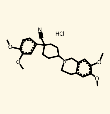 COc1ccc(C2(C#N)CCC(N3CCc4cc(OC)c(OC)cc4C3)CC2)cc1OC.Cl